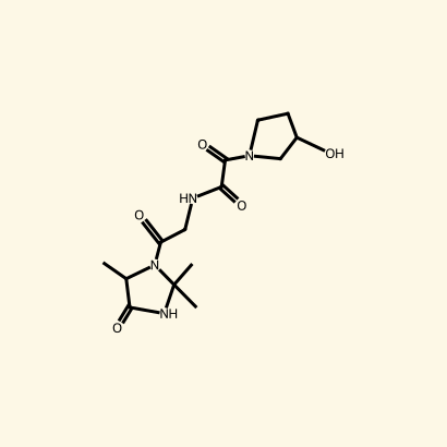 CC1C(=O)NC(C)(C)N1C(=O)CNC(=O)C(=O)N1CCC(O)C1